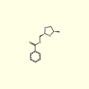 O=C(OC[C@H]1OC[C@@H](I)O1)c1ccccc1